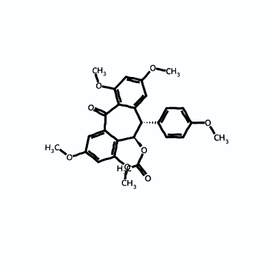 COc1ccc([C@H]2c3cc(OC)cc(OC)c3C(=O)c3cc(OC)cc(OC)c3[C@@H]2OC(C)=O)cc1